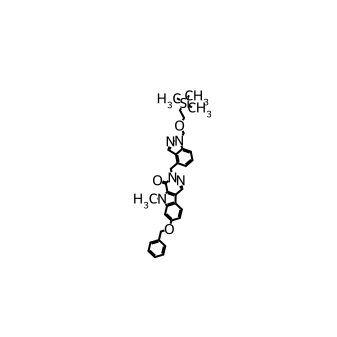 Cn1c2cc(OCc3ccccc3)ccc2c2cnn(Cc3cccc4c3cnn4COCC[Si](C)(C)C)c(=O)c21